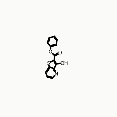 O=C(Oc1ccccc1)c1sc2cccnc2c1O